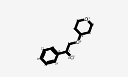 ClC(COC1CCOCC1)c1ccccc1